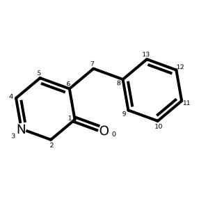 O=C1CN=CC=C1Cc1ccccc1